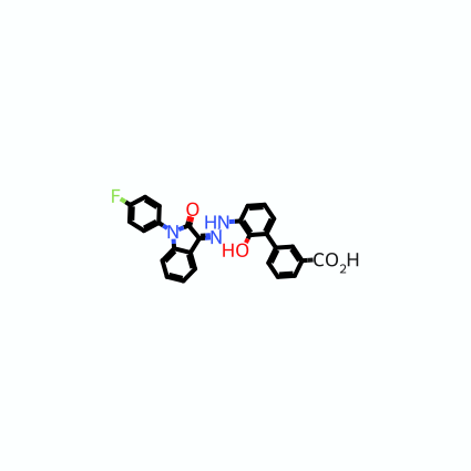 O=C(O)c1cccc(-c2cccc(NN=C3C(=O)N(c4ccc(F)cc4)c4ccccc43)c2O)c1